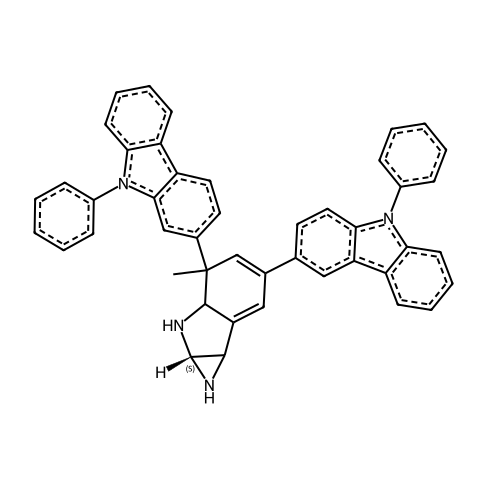 CC1(c2ccc3c4ccccc4n(-c4ccccc4)c3c2)C=C(c2ccc3c(c2)c2ccccc2n3-c2ccccc2)C=C2C3N[C@@H]3NC21